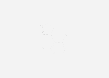 Nc1cccc(N)c1N1C=NCC1